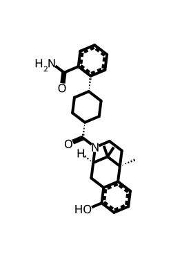 CC1(C)[C@H]2Cc3c(O)cccc3[C@]1(C)CCN2C(=O)[C@H]1CC[C@@H](c2ccccc2C(N)=O)CC1